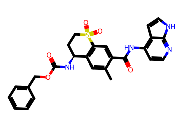 Cc1cc2c(cc1C(=O)Nc1ccnc3[nH]ccc13)S(=O)(=O)CC[C@@H]2NC(=O)OCc1ccccc1